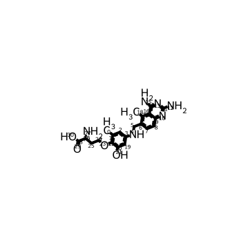 Cc1cc(NCc2ccc3nc(N)nc(N)c3c2C)cc(O)c1OCC[C@H](N)C(=O)O